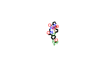 O=C(NCc1nc(-c2ccc(OC(F)(F)F)cc2)co1)[C@@H]1CCCN1S(=O)(=O)c1ccc(Cl)s1